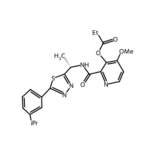 CCC(=O)Oc1c(OC)ccnc1C(=O)N[C@@H](C)c1nnc(-c2cccc(C(C)C)c2)s1